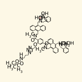 CN(Cc1ccccc1B(O)O)Cc1c2ccccc2c(CN(C)C(=O)c2ccc(C(=O)N(C)Cc3c4ccccc4c(CN(C)Cc4ccccc4B(O)O)c4ccccc34)c(OCc3cn(CCCNC(=O)OC(C)(C)C)nn3)c2)c2ccccc12